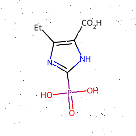 CCc1nc(P(=O)(O)O)[nH]c1C(=O)O